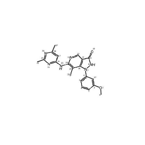 COc1cccc(-n2[nH]c(=O)c3cnc(Nc4cc(C)nc(C)n4)c(F)c32)c1